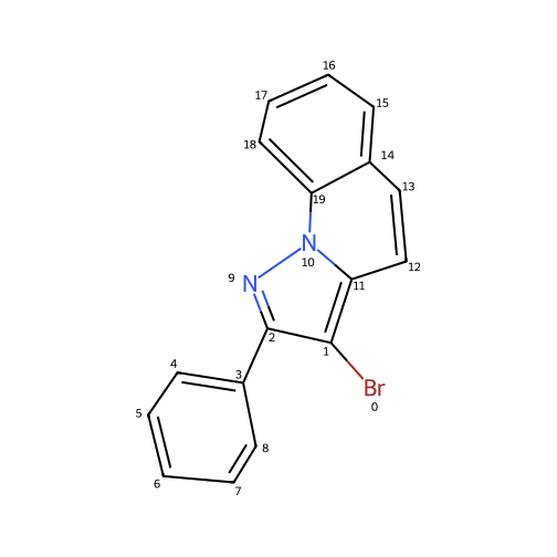 Brc1c(-c2ccccc2)nn2c1ccc1ccccc12